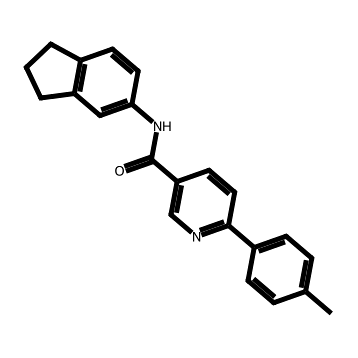 Cc1ccc(-c2ccc(C(=O)Nc3ccc4c(c3)CCC4)cn2)cc1